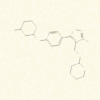 Cc1noc(-c2ccc(OC3CCCC(C(=O)O)C3)cc2)c1COC1CCCCO1